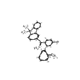 C=C(c1ccc2c(c1)-c1ccccc1C2(C)C)c1ccc(Br)cc1-c1ccccc1C